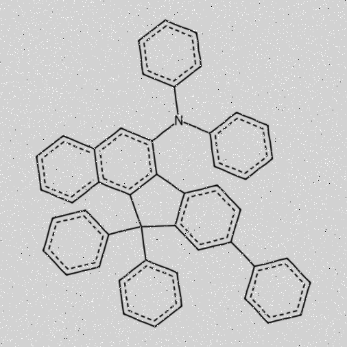 c1ccc(-c2ccc3c(c2)C(c2ccccc2)(c2ccccc2)c2c-3c(N(c3ccccc3)c3ccccc3)cc3ccccc23)cc1